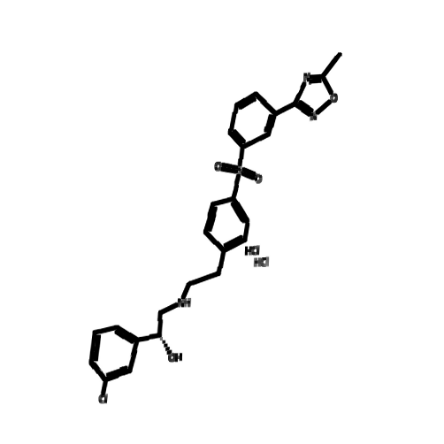 Cc1nc(-c2cccc(S(=O)(=O)c3ccc(CCNC[C@H](O)c4cccc(Cl)c4)cc3)c2)no1.Cl.Cl